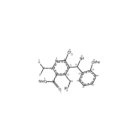 COC(=O)c1c(C(F)F)nc(C(F)(F)F)c(C(S)c2ccccc2OC)c1CC(C)C